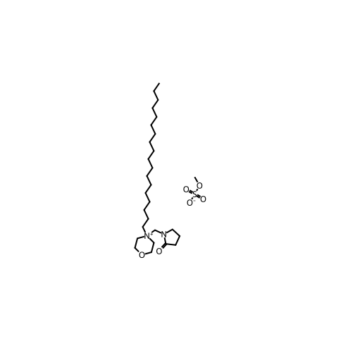 CCCCCCCCCCCCCCCCCC[N+]1(CN2CCCC2=O)CCOCC1.COS(=O)(=O)[O-]